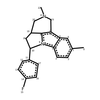 Cc1ccc2c(c1)c1c3n2C(c2ccc(F)cc2)CC3CN(C)C1